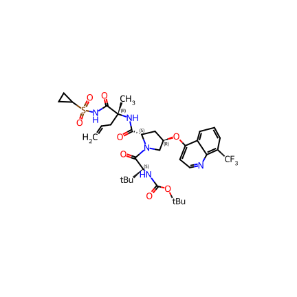 C=CC[C@@](C)(NC(=O)[C@@H]1C[C@@H](Oc2ccnc3c(C(F)(F)F)cccc23)CN1C(=O)[C@@H](NC(=O)OC(C)(C)C)C(C)(C)C)C(=O)NS(=O)(=O)C1CC1